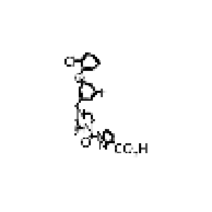 C[C@H]1CN(Cc2cc(F)cc(Oc3ccccc3Cl)c2)CCN1C(=O)n1ccc(C(=O)O)n1